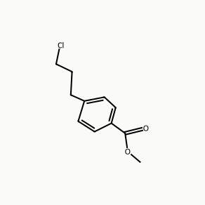 COC(=O)c1ccc(CCCCl)cc1